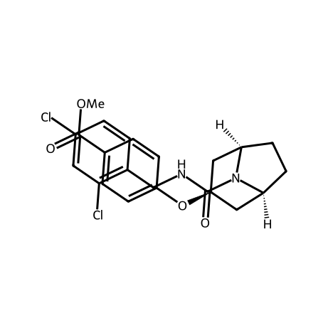 COC(=O)c1ccc(O[C@H]2C[C@H]3CC[C@@H](C2)N3C(=O)NCc2ccc(Cl)cc2Cl)cc1